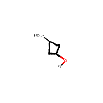 CCOC1CC(C(=O)O)C1